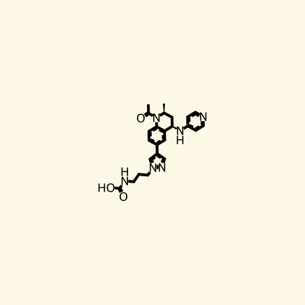 CC(=O)N1c2ccc(-c3cnn(CCCNC(=O)O)c3)cc2[C@H](Nc2ccncc2)C[C@@H]1C